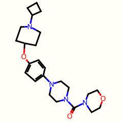 O=C(N1CCOCC1)N1CCN(c2ccc(OC3CCN(C4CCC4)CC3)cc2)CC1